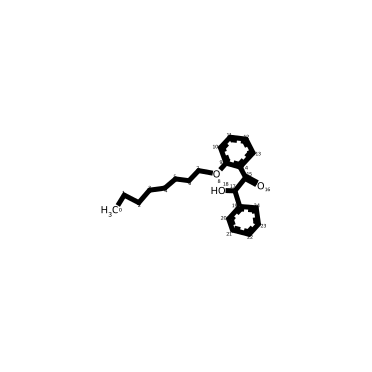 CCCCCCCCOc1ccccc1C(=O)C(O)c1ccccc1